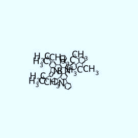 CC(C)c1cccc(C(C)C)c1-c1ccc2c(c1)c1c3ccccc3c3c4c1n2-c1cc2c5ccccc5n5c6ccccc6c(c1B4n1c4ccc(C(C)(C)C)cc4c4cc(C(C)(C)C)cc-3c41)c25